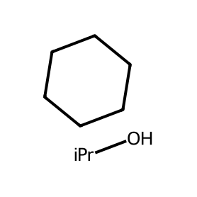 C1CCCCC1.CC(C)O